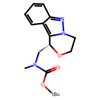 CN(C[C@H]1OCCn2nc3ccccc3c21)C(=O)OC(C)(C)C